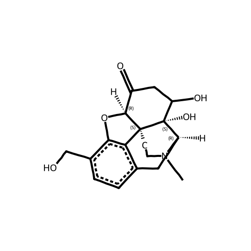 CN1CC[C@]23c4c5ccc(CO)c4O[C@H]2C(=O)CC(O)[C@@]3(O)[C@H]1C5